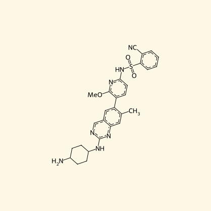 COc1nc(NS(=O)(=O)c2ccccc2C#N)ccc1-c1cc2cnc(NC3CCC(N)CC3)nc2cc1C